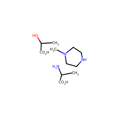 CC(N)C(=O)O.CC(O)C(=O)O.CN1CCNCC1